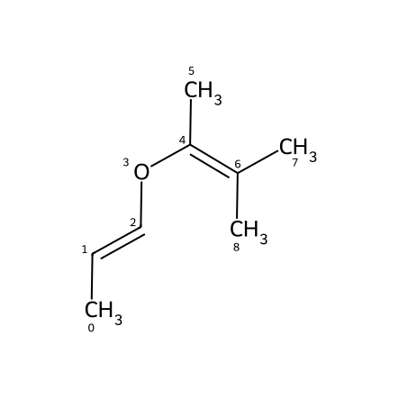 CC=COC(C)=C(C)C